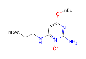 CCCCCCCCCCCCNc1cc(OCCCC)nc(N)[n+]1[O-]